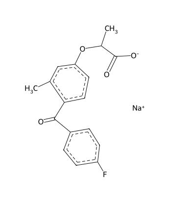 Cc1cc(OC(C)C(=O)[O-])ccc1C(=O)c1ccc(F)cc1.[Na+]